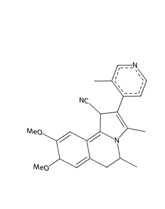 COC1=CC2=C3C(C#N)C(c4ccncc4C)=C(C)N3C(C)CC2=CC1OC